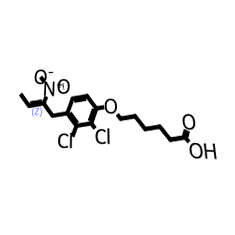 C/C=C(/Cc1ccc(OCCCCCC(=O)O)c(Cl)c1Cl)[N+](=O)[O-]